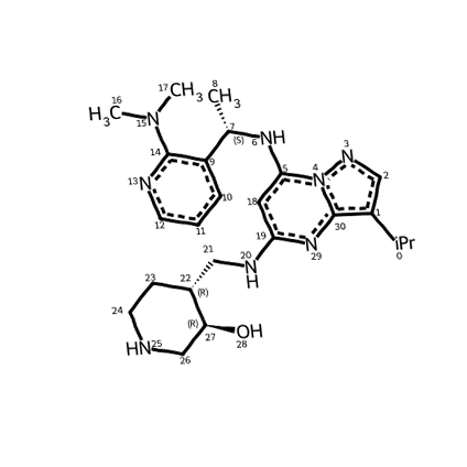 CC(C)c1cnn2c(N[C@@H](C)c3cccnc3N(C)C)cc(NC[C@H]3CCNC[C@@H]3O)nc12